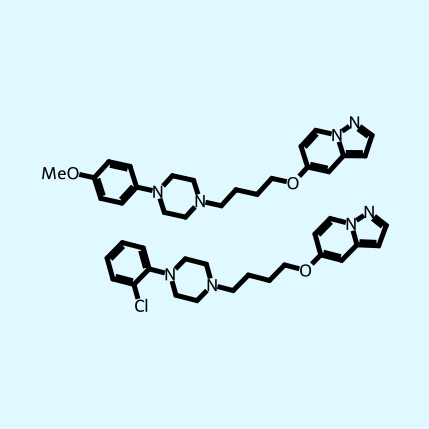 COc1ccc(N2CCN(CCCCOc3ccn4nccc4c3)CC2)cc1.Clc1ccccc1N1CCN(CCCCOc2ccn3nccc3c2)CC1